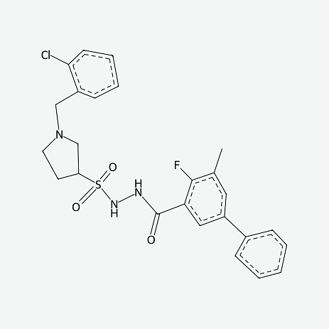 Cc1cc(-c2ccccc2)cc(C(=O)NNS(=O)(=O)C2CCN(Cc3ccccc3Cl)C2)c1F